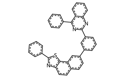 c1ccc(-c2nc3ccc4ccc(-c5cccc(-c6nc(-c7ccccc7)c7ccccc7n6)c5)cc4c3s2)cc1